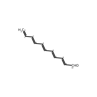 C=CC=CC=CC=CC=CC=O